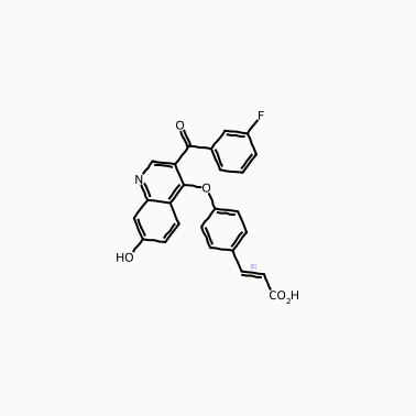 O=C(O)/C=C/c1ccc(Oc2c(C(=O)c3cccc(F)c3)cnc3cc(O)ccc23)cc1